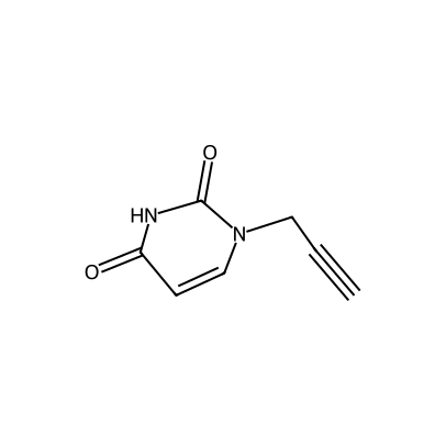 C#CCn1ccc(=O)[nH]c1=O